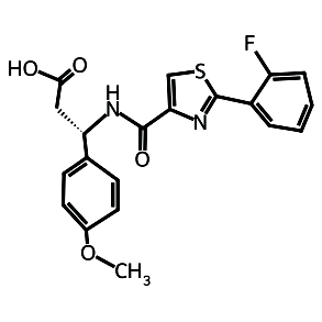 COc1ccc([C@H](CC(=O)O)NC(=O)c2csc(-c3ccccc3F)n2)cc1